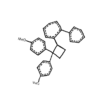 COc1ccc(C2(c3ccc(OC)cc3)CCC2c2ccccc2-c2ccccc2)cc1